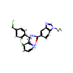 Cn1cnc2cc(C(=O)N[C@@H](c3ccc(CF)cc3)c3ncccc3F)ccc21